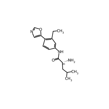 CCc1cc(NC(=O)[C@H](N)CC(C)C)ccc1-c1cnco1